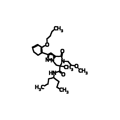 CCCCOC1=C(c2cc3n(n2)CC(C)(C(=O)NC(CCC)CCC)N(CCOC)C3=O)CCC=C1